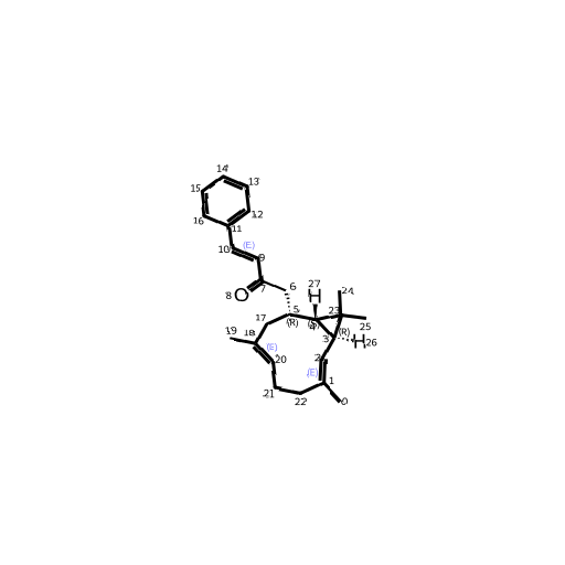 C/C1=C\[C@H]2[C@H]([C@@H](CC(=O)/C=C/c3ccccc3)C/C(C)=C/CC1)C2(C)C